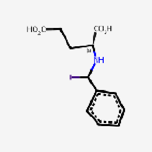 O=C(O)CC[C@H](NC(I)c1ccccc1)C(=O)O